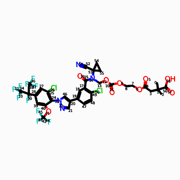 CC(C)(CC(=O)OCCOC(=O)OCN(C(=O)c1cc(-c2cnn(-c3c(Cl)cc(C(F)(C(F)(F)F)C(F)(F)F)cc3OC(F)(F)F)c2)ccc1Cl)C1(C#N)CC1)C(=O)O